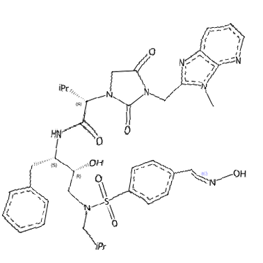 CC(C)CN(C[C@@H](O)[C@H](Cc1ccccc1)NC(=O)[C@H](C(C)C)N1CC(=O)N(Cc2nc3cccnc3n2C)C1=O)S(=O)(=O)c1ccc(/C=N/O)cc1